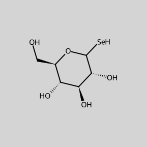 OC[C@H]1OC([SeH])[C@H](O)[C@@H](O)[C@@H]1O